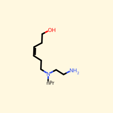 CCCN(CCN)CC/C=C\CCO